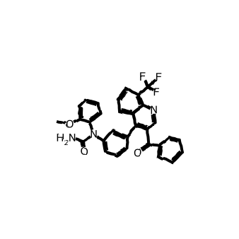 COc1ccccc1N(C(N)=O)c1cccc(-c2c(C(=O)c3ccccc3)cnc3c(C(F)(F)F)cccc23)c1